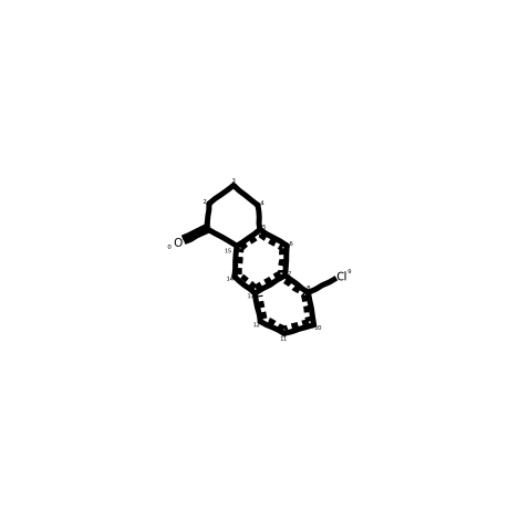 O=C1CCCc2cc3c(Cl)cccc3cc21